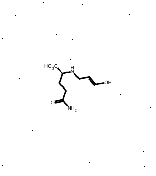 NC(=O)CC[C@H](NCC=CO)C(=O)O